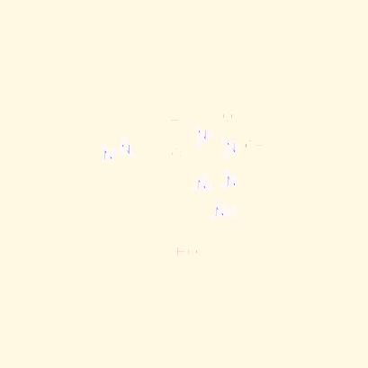 Cn1c(=O)c2c(nc(NCCO)n2Cc2ccc(-n3cccn3)cc2)n(C)c1=O